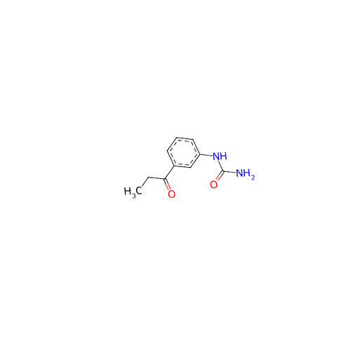 CCC(=O)c1cccc(NC(N)=O)c1